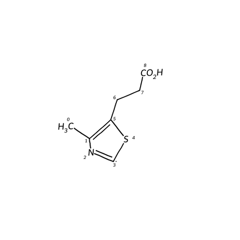 Cc1n[c]sc1CCC(=O)O